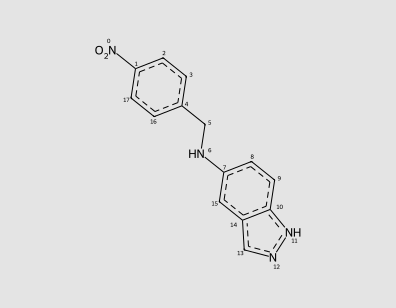 O=[N+]([O-])c1ccc(CNc2ccc3[nH]ncc3c2)cc1